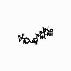 Cc1nc(N(C)c2cnn(Cc3ccc(C(F)(F)F)nc3)c2)nc2c1NC(=O)[C@@H](C)N2C